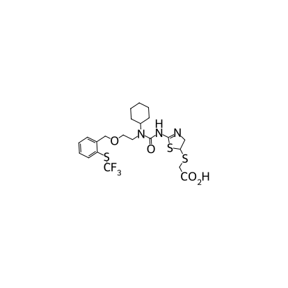 O=C(O)CSC1CN=C(NC(=O)N(CCOCc2ccccc2SC(F)(F)F)C2CCCCC2)S1